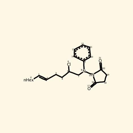 CCCCCCC=CCCC(Cl)CN(c1ccccc1)N1C(=O)CCC1=O